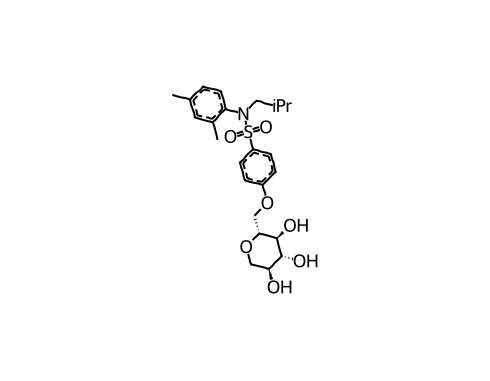 Cc1ccc(N(CC(C)C)S(=O)(=O)c2ccc(OC[C@H]3OC[C@H](O)[C@@H](O)[C@@H]3O)cc2)c(C)c1